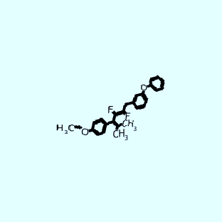 CCOc1ccc(C(C(F)=C(F)Cc2cccc(Oc3ccccc3)c2)C(C)C)cc1